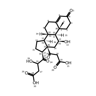 C[C@]12CCC(=O)C=C1CC[C@@H]1[C@@H]2[C@@H](O)C[C@]2(C(=O)CC(=O)O)[C@@H](C(=O)C(O)CC(=O)O)CC[C@@H]12